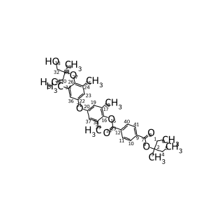 CCC(C)(CC)OC(=O)c1ccc(C(=O)Oc2c(C)cc(Oc3cc(C)c(O[C@@](C)(CC)CO)c(C)c3)cc2C)cc1